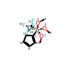 C[O][Zr]([O]C)([O]C)([C]1=CC=CC1)[Ge]([F])([F])[F]